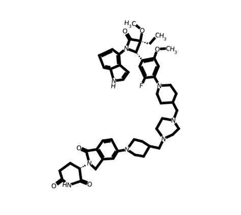 CC[C@@]1(OC)C(=O)N(c2cccc3[nH]ccc23)[C@H]1c1cc(F)c(N2CCC(CN3CCN(CC4CCN(c5ccc6c(c5)CN([C@H]5CCC(=O)NC5=O)C6=O)CC4)CC3)CC2)cc1OC